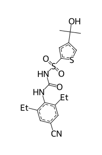 CCc1cc(C#N)cc(CC)c1NC(=O)NS(=O)(=O)c1cc(C(C)(C)O)cs1